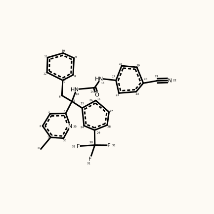 Cc1ccc(C(Cc2ccccc2)(NC(=O)Nc2ccc(C#N)cc2)c2cccc(C(F)(F)F)c2)nc1